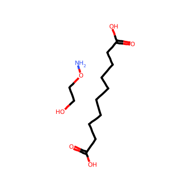 NOCCO.O=C(O)CCCCCCCCC(=O)O